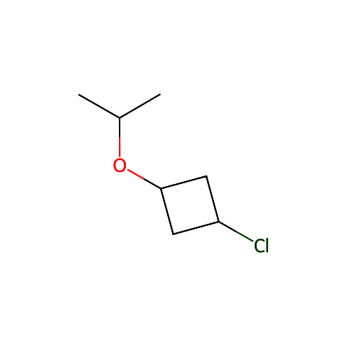 CC(C)OC1CC(Cl)C1